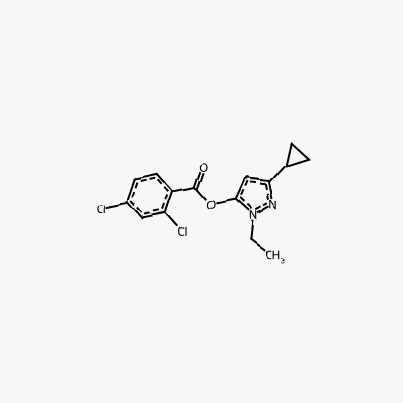 CCn1nc(C2CC2)cc1OC(=O)c1ccc(Cl)cc1Cl